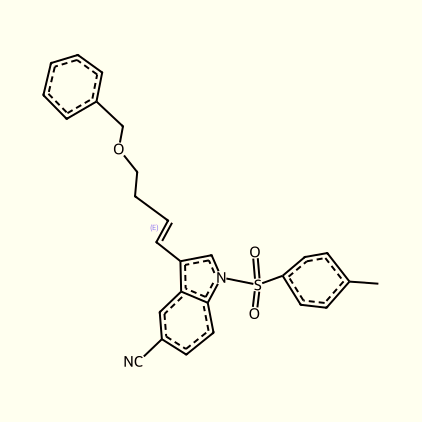 Cc1ccc(S(=O)(=O)n2cc(/C=C/CCOCc3ccccc3)c3cc(C#N)ccc32)cc1